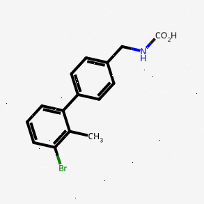 Cc1c(Br)cccc1-c1ccc(CNC(=O)O)cc1